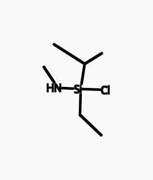 CC[Si](Cl)(NC)C(C)C